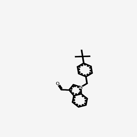 CC(C)(C)c1ccc(Cn2cc(C=O)c3ccccc32)cc1